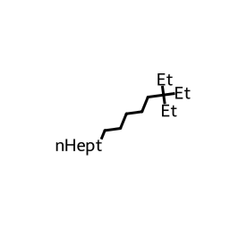 CCCCCCCCCCCCC(CC)(CC)CC